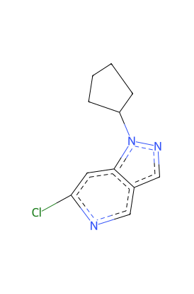 Clc1cc2c(cn1)cnn2C1CCCC1